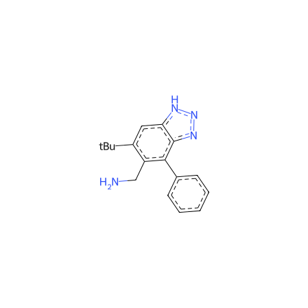 CC(C)(C)c1cc2[nH]nnc2c(-c2ccccc2)c1CN